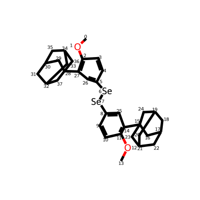 COc1ccc([Se][Se]c2ccc(OC)c(C34CC5CC(CC(C5)C3)C4)c2)cc1C12CC3CC(CC(C3)C1)C2